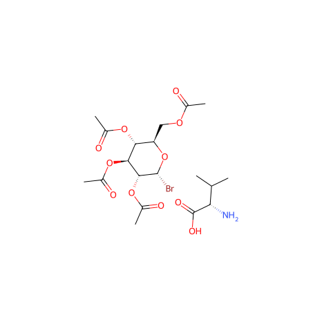 CC(=O)OC[C@H]1O[C@H](Br)[C@H](OC(C)=O)[C@@H](OC(C)=O)[C@@H]1OC(C)=O.CC(C)[C@H](N)C(=O)O